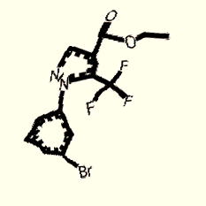 CCOC(=O)c1cnn(-c2cccc(Br)c2)c1C(F)(F)F